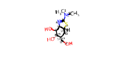 CN(C)C1=NC2C(O)[C@@H](O)[C@H](CO)C[C@H]2S1